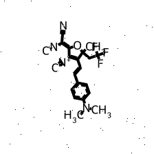 [C-]#[N+]C1=C(/C=C/c2ccc(N(C)C)cc2)C(C)(CC(F)(F)F)O/C1=C(\C#N)[N+]#[C-]